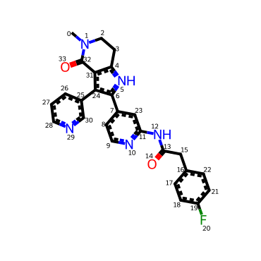 CN1CCc2[nH]c(-c3ccnc(NC(=O)Cc4ccc(F)cc4)c3)c(-c3cccnc3)c2C1=O